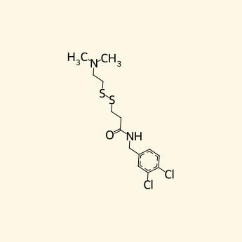 CN(C)CCSSCCC(=O)NCc1ccc(Cl)c(Cl)c1